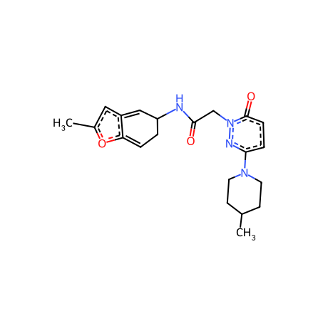 Cc1cc2c(o1)=CCC(NC(=O)Cn1nc(N3CCC(C)CC3)ccc1=O)C=2